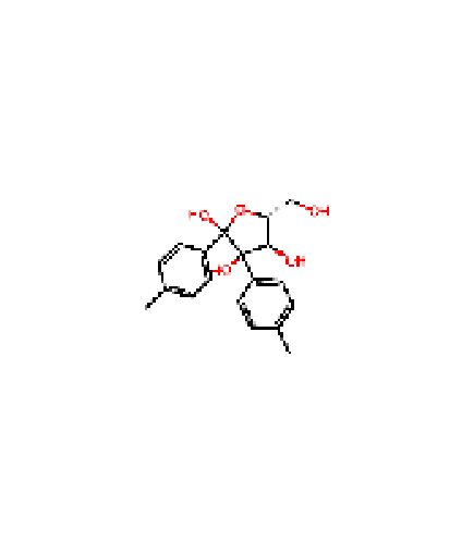 Cc1ccc(C2(O)O[C@H](CO)[C@@H](O)[C@]2(O)c2ccc(C)cc2)cc1